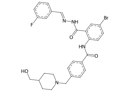 O=C(Nc1ccc(Br)cc1C(=O)NN=Cc1cccc(F)c1)c1ccc(CN2CCC(CO)CC2)cc1